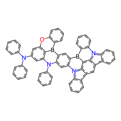 c1ccc(N(c2ccccc2)c2cc3c4c(c2)N(c2ccccc2)c2cc5c(cc2B4c2ccccc2O3)B2c3ccccc3-n3c4ccccc4c4cc6c7ccccc7n-5c6c2c43)cc1